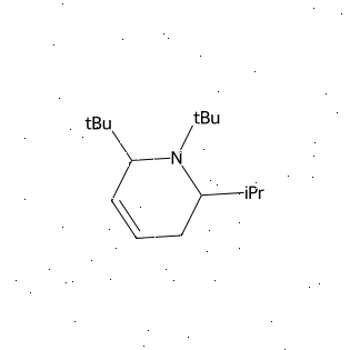 CC(C)C1CC=CC(C(C)(C)C)N1C(C)(C)C